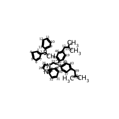 CB(c1ccccc1)c1ccccc1.CC(C)Cc1ccc([Si](Cn2ccnc2)(c2ccccc2)c2ccc(CC(C)C)cc2)cc1